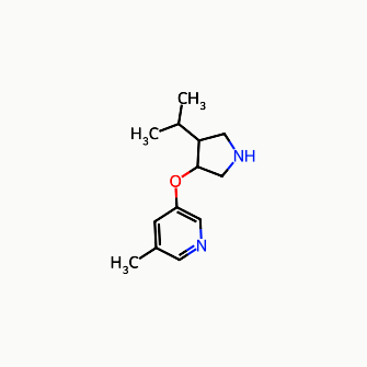 Cc1cncc(OC2CNCC2C(C)C)c1